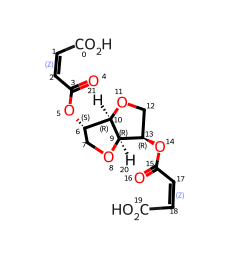 O=C(O)/C=C\C(=O)O[C@H]1CO[C@H]2[C@@H]1OC[C@H]2OC(=O)/C=C\C(=O)O